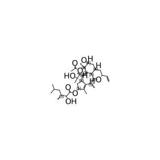 C=CC1C[C@H]2C[C@H]3OC[C@@]3(OC(C)=O)[C@H]3[C@H](C)[C@]4(C(C)(C)O)C[C@H](OC(=O)C(O)[C@@H](C)CC(C)C)C(C)=C4[C@H](C)[C@H](O1)[C@]23C